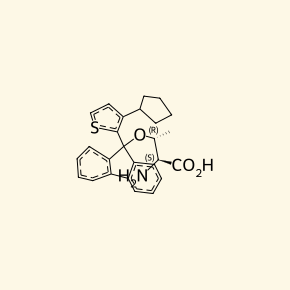 C[C@@H](OC1(c2sccc2C2CCCC2)c2ccccc2-c2ccccc21)[C@H](N)C(=O)O